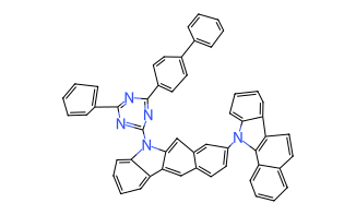 c1ccc(-c2ccc(-c3nc(-c4ccccc4)nc(-n4c5ccccc5c5cc6ccc(-n7c8ccccc8c8ccc9ccccc9c87)cc6cc54)n3)cc2)cc1